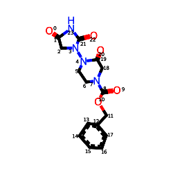 O=C1CN(N2CCN(C(=O)OCc3ccccc3)CC2=O)C(=O)N1